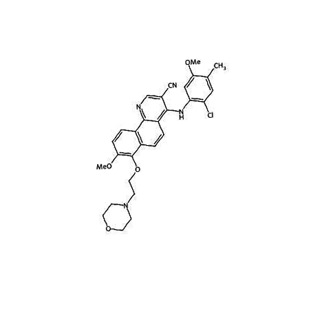 COc1cc(Nc2c(C#N)cnc3c2ccc2c(OCCN4CCOCC4)c(OC)ccc23)c(Cl)cc1C